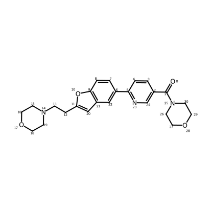 O=C(c1ccc(-c2ccc3oc(CCN4CCOCC4)cc3c2)nc1)N1CCOCC1